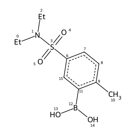 CCN(CC)S(=O)(=O)c1ccc(C)c(B(O)O)c1